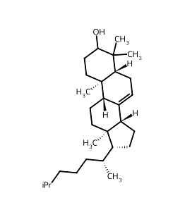 CC(C)CCC[C@@H](C)[C@H]1CC[C@H]2C3=CC[C@H]4C(C)(C)C(O)CC[C@]4(C)[C@H]3CC[C@]12C